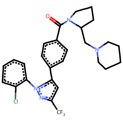 O=C(c1ccc(-c2cc(C(F)(F)F)nn2-c2ccccc2Cl)cc1)N1CCCC1CN1CCCCC1